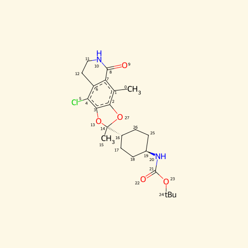 Cc1c2c(c(Cl)c3c1C(=O)NCC3)OC(C)([C@H]1CC[C@H](NC(=O)OC(C)(C)C)CC1)O2